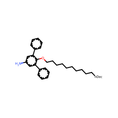 CCCCCCCCCCCCCCCCCCCCOc1c(-c2ccccc2)cc(N)cc1-c1ccccc1